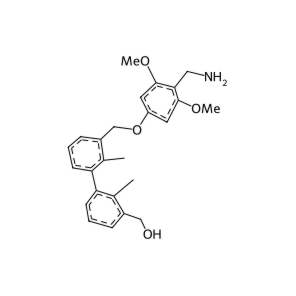 COc1cc(OCc2cccc(-c3cccc(CO)c3C)c2C)cc(OC)c1CN